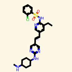 CCc1cc(/C=C/c2cnc(NC3CCC(NC)CC3)nc2)cnc1NS(=O)(=O)c1ccccc1Cl